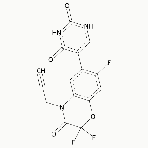 C#CCN1C(=O)C(F)(F)Oc2cc(F)c(-c3c[nH]c(=O)[nH]c3=O)cc21